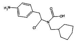 Nc1ccc(CC(Cl)N(CC2CCCCC2)C(=O)O)cc1